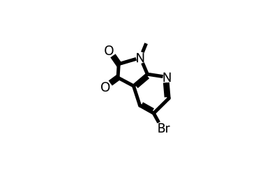 CN1C(=O)C(=O)c2cc(Br)cnc21